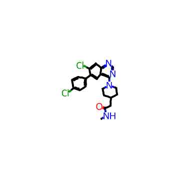 CNC(=O)CC1CCN(c2ncnc3cc(Cl)c(-c4ccc(Cl)cc4)cc23)CC1